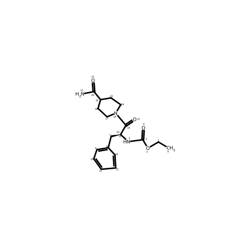 CCOC(=O)N[C@@H](Cc1ccccc1)C(=O)N1CCC(C(N)=O)CC1